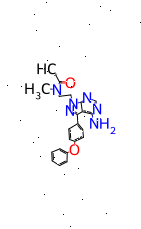 C#CC(=O)N(C)CCn1nc(-c2ccc(Oc3ccccc3)cc2)c2c(N)ncnc21